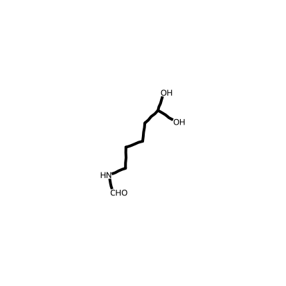 O=CNCCCCC(O)O